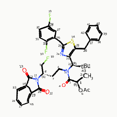 CC(=O)O[C@H](C)C(=O)N(CC[C@@H](CF)N1C(=O)c2ccccc2C1=O)[C@@H](c1nc(-c2cc(F)ccc2F)sc1Cc1ccccc1)C(C)(C)C